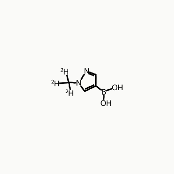 [2H]C([2H])([2H])n1cc(B(O)O)cn1